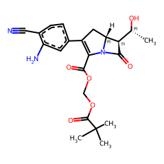 C[C@@H](O)[C@H]1C(=O)N2C(C(=O)OCOC(=O)C(C)(C)C)=C(c3ccc(C#N)c(N)c3)C[C@H]12